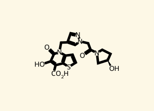 O=C(O)c1c(O)c(=O)n(Cc2cnn(CC(=O)N3CC[C@@H](O)C3)c2)c2ccsc12